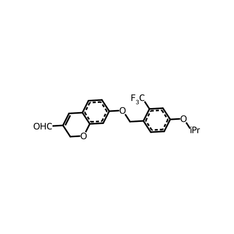 CC(C)Oc1ccc(COc2ccc3c(c2)OCC(C=O)=C3)c(C(F)(F)F)c1